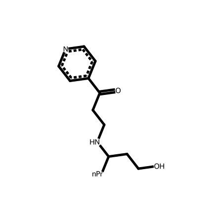 CCCC(CCO)NCCC(=O)c1ccncc1